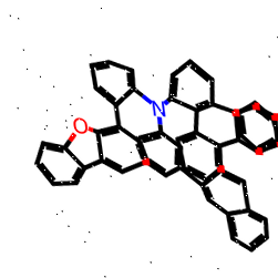 c1ccc(-c2ccccc2-c2c(-c3ccccc3)cccc2N(c2cccc(-c3ccc4ccccc4c3)c2)c2ccccc2-c2cccc3c2oc2ccccc23)cc1